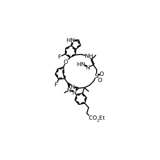 CCOC(=O)CCc1cccc(C2(C)CCS(=O)(=O)C/C(N=N)=C(\C)NCc3c(c(F)cc4[nH]ccc34)Oc3ccc(F)c(c3)-c3nc2nn3C)c1